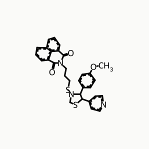 COc1ccc(C2C(c3ccncc3)SCN2SCCCN2C(=O)c3cccc4cccc(c34)C2=O)cc1